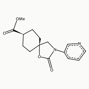 COC(=O)[C@H]1CC[C@@]2(CC1)CN(c1cccnc1)C(=O)O2